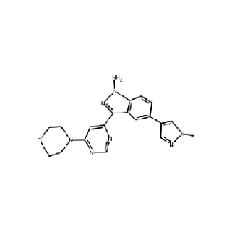 Cn1cc(-c2ccc3c(c2)c(-c2cc(N4CCOCC4)ncn2)nn3N)cn1